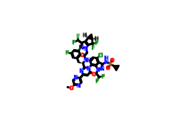 COc1cnc(-c2cc(=O)n(-c3ccc(Cl)c4c(NS(=O)(=O)C5CC5)nn(CC(F)F)c34)c([C@H](Cc3cc(F)cc(F)c3)NC(=O)Cn3nc(C(F)F)c4c3C(F)(F)[C@@H]3C[C@H]43)n2)cn1